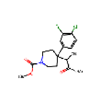 COC(=O)C(C#N)C1(c2ccc(Cl)c(F)c2)CCN(C(=O)OC(C)(C)C)CC1